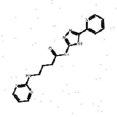 O=C(CCCNc1ncccn1)Nc1nnc(-c2ccccn2)[nH]1